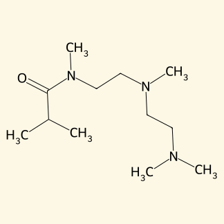 CC(C)C(=O)N(C)CCN(C)CCN(C)C